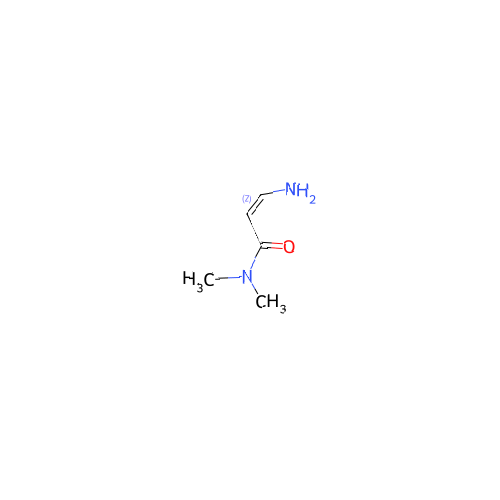 CN(C)C(=O)/C=C\N